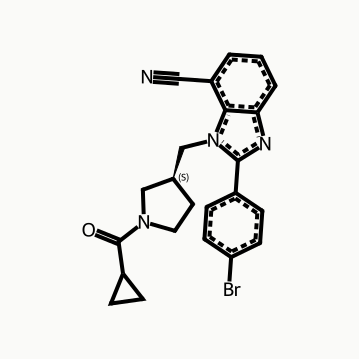 N#Cc1cccc2nc(-c3ccc(Br)cc3)n(C[C@H]3CCN(C(=O)C4CC4)C3)c12